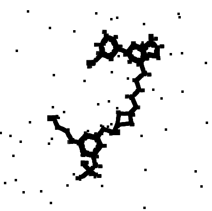 OCCOc1cc(CNC2CC(COCCOc3cc(-c4cnnc(O)c4)cc4[nH]ncc34)C2)cc(OC(F)(F)F)c1